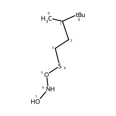 CC(CCSONO)C(C)(C)C